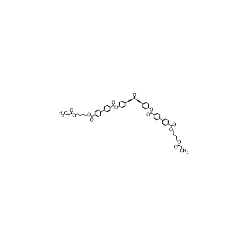 C=CC(=O)OCCCCOC(=O)c1ccc(-c2ccc(C(=O)Oc3ccc(C#CC(=O)C#Cc4ccc(OC(=O)c5ccc(-c6ccc(C(=O)OCCCCOC(=O)C=C)cc6)cc5)cc4)cc3)cc2)cc1